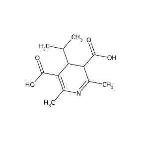 CC1=NC(C)=C(C(=O)O)C(C(C)C)C1C(=O)O